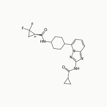 O=C(Nc1nc2cccc(C3CCC(NC(=O)[C@H]4CC4(F)F)CC3)n2n1)C1CC1